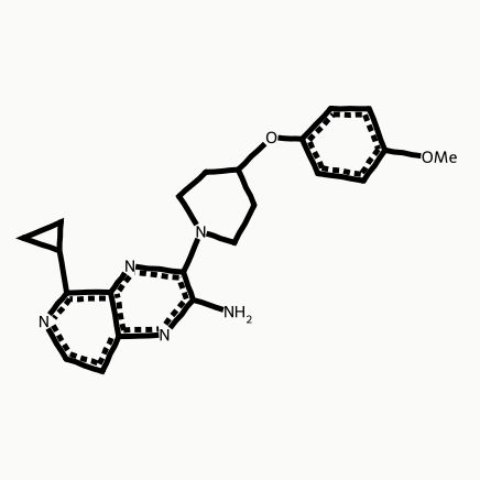 COc1ccc(OC2CCN(c3nc4c(C5CC5)nccc4nc3N)CC2)cc1